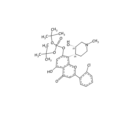 CN1CC[C@H](c2c(OP(=O)(OC(C)(C)C)OC(C)(C)C)cc(O)c3c(=O)cc(-c4ccccc4Cl)oc23)[C@H](O)C1